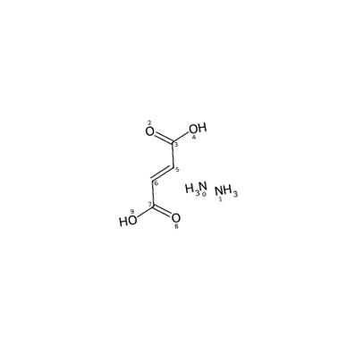 N.N.O=C(O)/C=C/C(=O)O